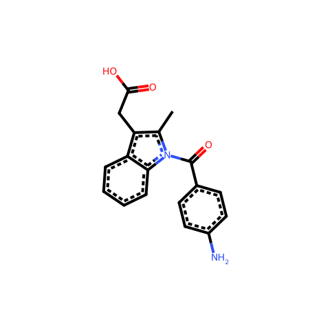 Cc1c(CC(=O)O)c2ccccc2n1C(=O)c1ccc(N)cc1